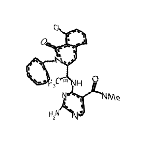 CNC(=O)c1cnc(N)nc1N[C@@H](C)c1cc2cccc(Cl)c2c(=O)n1-c1ccccc1